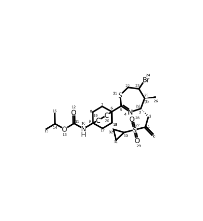 C=C(C[C@@H]1N=C(C23CCC(NC(=O)OC(C)C)(CC2)CC3)SCC(Br)[C@H]1C)S(=O)(=O)C1CC1